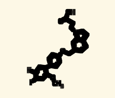 COc1cc(F)c(F)cc1-c1ccc(OCc2ccc3ccn(CCC(=O)O)c3c2)cc1